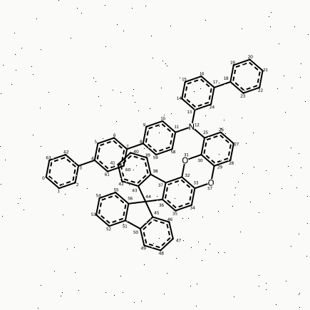 c1ccc(-c2ccc(-c3ccc(N(c4cccc(-c5ccccc5)c4)c4cccc5c4Oc4c(ccc6c4-c4ccccc4C64c6ccccc6-c6ccccc64)O5)cc3)cc2)cc1